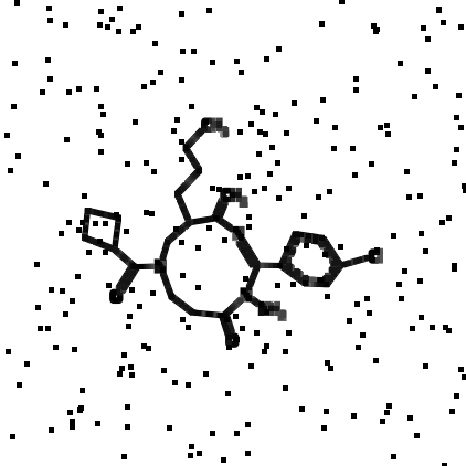 C=C1/N=C(/c2ccc(Cl)cc2)N(N)C(=O)CCN(C(=O)C2CCC2)CC1CCCC